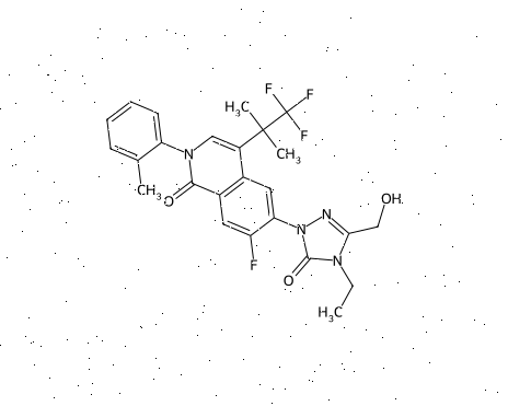 CCn1c(CO)nn(-c2cc3c(C(C)(C)C(F)(F)F)cn(-c4ccccc4C)c(=O)c3cc2F)c1=O